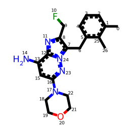 Cc1cccc(Cc2c(CF)nc3c(N)cc(N4CCOCC4)nn23)c1C